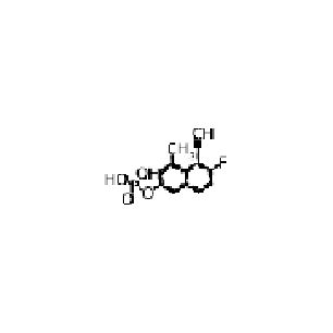 C#Cc1c(F)ccc2cc(OP(=O)(O)O)cc(C)c12